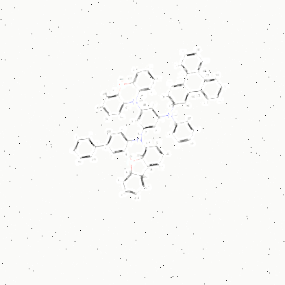 c1ccc(-c2ccc(N(c3cc(N(c4ccccc4)c4ccc5c6ccccc6c6ccccc6c5c4)cc(N4c5ccccc5Oc5ccccc54)c3)c3cccc4c3oc3ccccc34)cc2)cc1